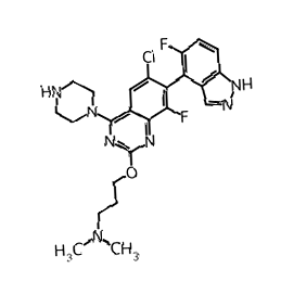 CN(C)CCCOc1nc(N2CCNCC2)c2cc(Cl)c(-c3c(F)ccc4[nH]ncc34)c(F)c2n1